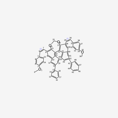 COc1ccc(/C=C\c2cc3cc(-c4ccccc4)ccc3c3c2OCOc2c(/C=C\c4ccc(OC)cc4)cc4cc(-c5ccccc5)ccc4c2-3)cc1